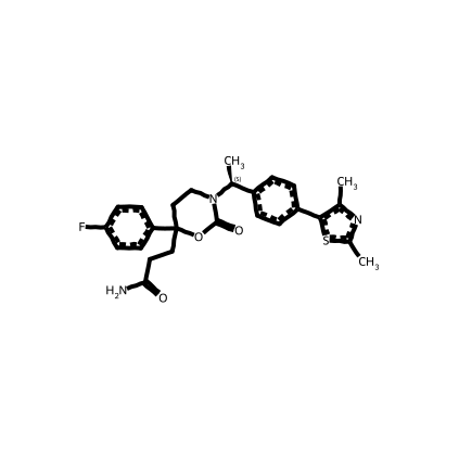 Cc1nc(C)c(-c2ccc([C@H](C)N3CCC(CCC(N)=O)(c4ccc(F)cc4)OC3=O)cc2)s1